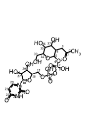 CC(=O)CC1C(OP(=O)(O)OP(=O)(O)OC[C@H]2O[C@@H](n3ccc(=O)[nH]c3=O)C(O)C2O)OC(CO)C(O)C1O